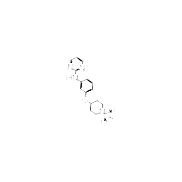 CS(=O)(=O)N1CCC(Oc2cccc(Nc3ncccn3)c2)CC1